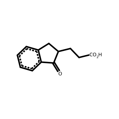 O=C(O)CCC1Cc2ccccc2C1=O